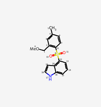 COCc1cc(C)ccc1S(=O)(=O)c1cccc2[nH]ccc12